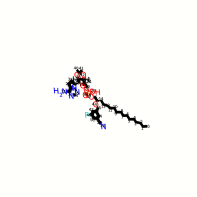 CCCCCCCCCCCCCCC[C@H](COP(=O)(O)OC[C@@]1(C)O[C@@H](c2ccc3c(N)ncnn23)[C@@H]2OC(C)(C)O[C@@H]21)OCc1cc(F)cc(C#N)c1